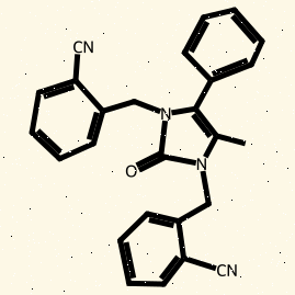 Cc1c(-c2ccccc2)n(Cc2ccccc2C#N)c(=O)n1Cc1ccccc1C#N